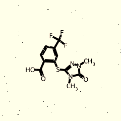 Cn1nc(Sc2cc(C(F)(F)F)ccc2C(=O)O)n(C)c1=O